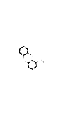 COc1cccc2c1Nc1ccccc1S2